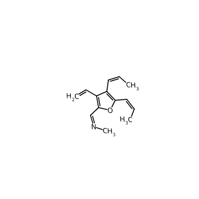 C=Cc1c(/C=N\C)oc(/C=C\C)c1/C=C\C